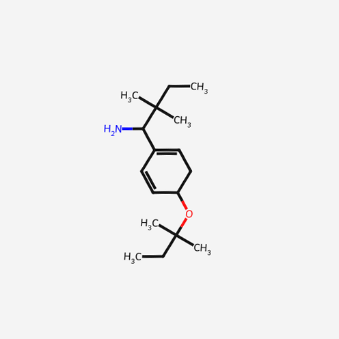 CCC(C)(C)OC1C=CC(C(N)C(C)(C)CC)=CC1